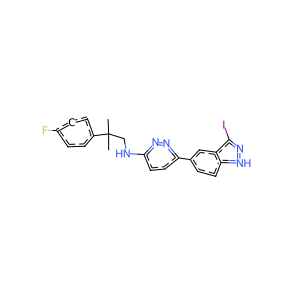 CC(C)(CNc1ccc(-c2ccc3[nH]nc(I)c3c2)nn1)c1ccc(F)cc1